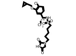 O=C1CN(CCCCCS(=O)(=O)N[C@H](CC(F)(F)F)c2ccc(Cl)c(OCC3CC3)c2)C(=O)N1